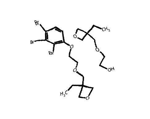 CCC1(COCCO)COC1.CCC1(COCCOc2ccc(Br)c(Br)c2Br)COC1